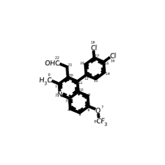 Cc1nc2ccc(OC(F)(F)F)cc2c(-c2ccc(Cl)c(Cl)c2)c1CC=O